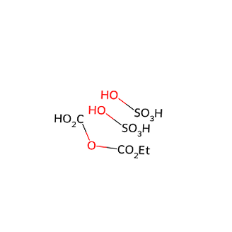 CCOC(=O)OC(=O)O.O=S(=O)(O)O.O=S(=O)(O)O